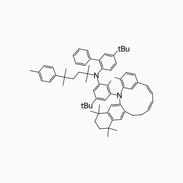 Cc1ccc(C(C)(C)CCC(C)(C)N(c2ccc(C(C)(C)C)cc2-c2ccccc2)c2cc(C(C)(C)C)cc(N3c4cc(ccc4C)C=C/C=C\CCc4cc5c(cc43)C(C)(C)CCC5(C)C)c2C)cc1